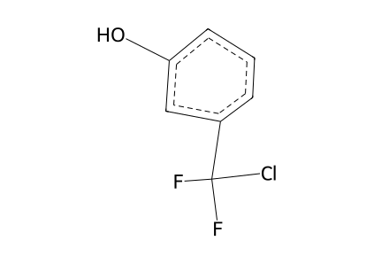 Oc1cccc(C(F)(F)Cl)c1